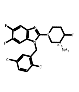 N[C@@H]1CN(c2nc3cc(F)c(F)cc3n2Cc2cc(Cl)ccc2Cl)CCC1F